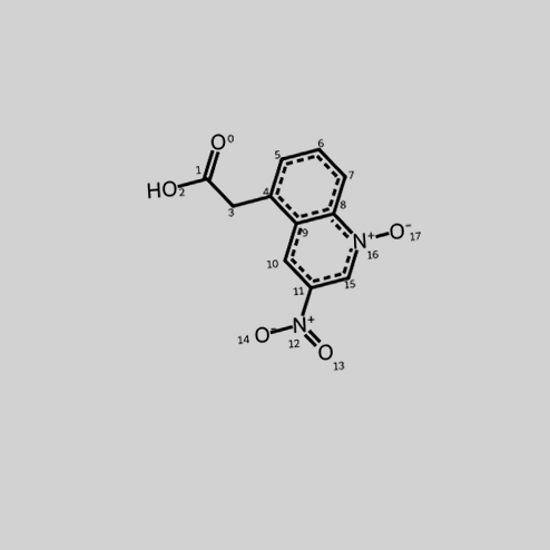 O=C(O)Cc1cccc2c1cc([N+](=O)[O-])c[n+]2[O-]